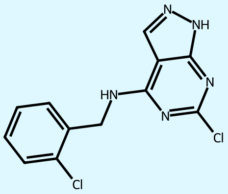 Clc1nc(NCc2ccccc2Cl)c2cn[nH]c2n1